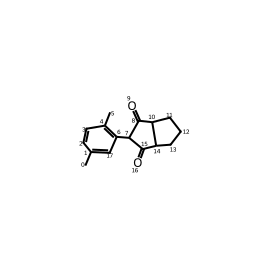 Cc1ccc(C)c(C2C(=O)C3CCCC3C2=O)c1